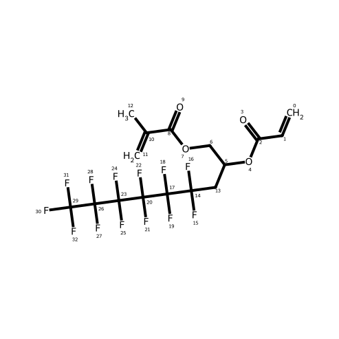 C=CC(=O)OC(COC(=O)C(=C)C)CC(F)(F)C(F)(F)C(F)(F)C(F)(F)C(F)(F)C(F)(F)F